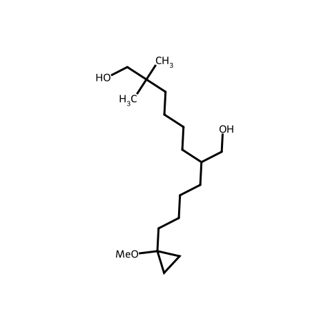 COC1(CCCCC(CO)CCCCC(C)(C)CO)CC1